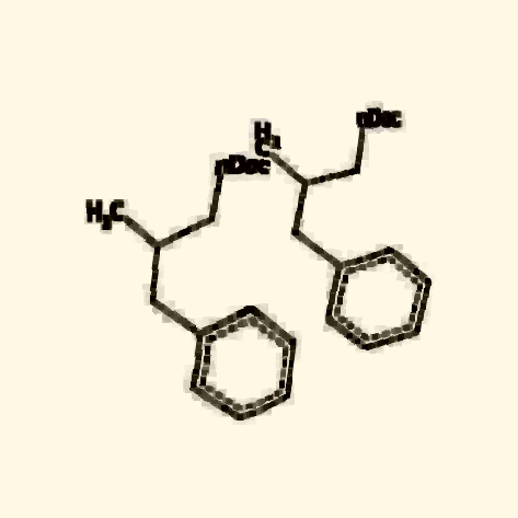 CCCCCCCCCCCC(C)Cc1ccccc1.CCCCCCCCCCCC(C)Cc1ccccc1